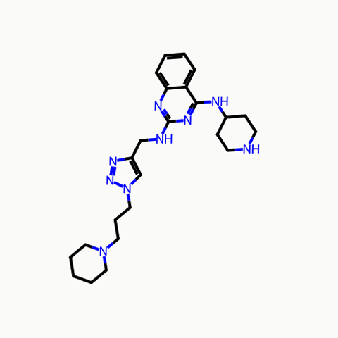 c1ccc2c(NC3CCNCC3)nc(NCc3cn(CCCN4CCCCC4)nn3)nc2c1